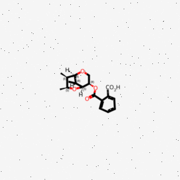 C[C@@H]1[C@@H]2OC[C@@H](OC(=O)c3ccccc3C(=O)O)[C@H]1O[C@@H](C)[C@H]2C